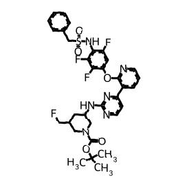 CC(C)(C)OC(=O)N1CC(CF)CC(Nc2nccc(-c3cccnc3Oc3cc(F)c(NS(=O)(=O)Cc4ccccc4)c(F)c3F)n2)C1